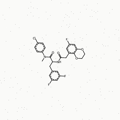 CN(C(=O)C(Cc1cc(F)cc(F)c1)NC(=O)Cc1cc(F)cc2c1OCCO2)c1ccc(Cl)cc1